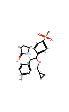 CS(=O)(=O)c1ccc([C@@H](OCC2CC2)[C@H](c2ccc(F)cc2)N2CCCC2=O)cc1